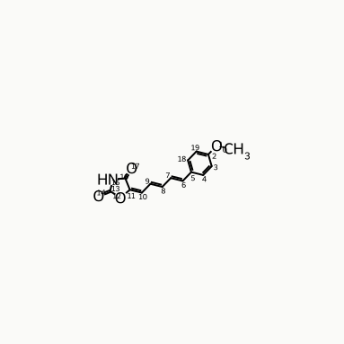 COc1ccc(/C=C/C=C/C=C2/OC(=O)NC2=O)cc1